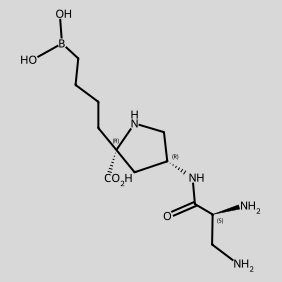 NC[C@H](N)C(=O)N[C@H]1CN[C@@](CCCCB(O)O)(C(=O)O)C1